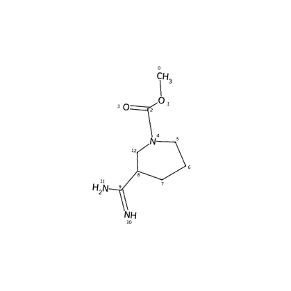 COC(=O)N1CCCC(C(=N)N)C1